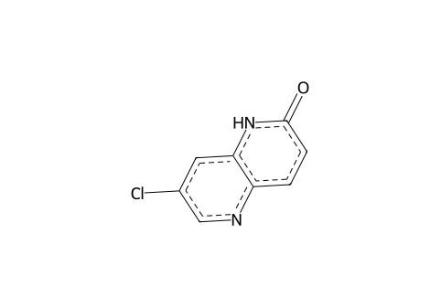 O=c1ccc2ncc(Cl)cc2[nH]1